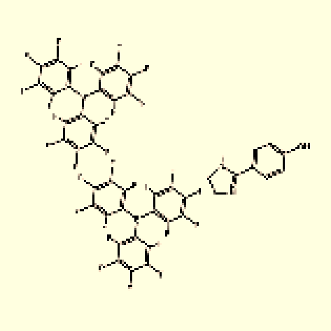 Fc1c(F)c(F)c(B(c2c(F)c(F)c(F)c(F)c2F)c2c(F)c(F)c(F)c(F)c2F)c(F)c1F.Fc1c(F)c(F)c(B(c2c(F)c(F)c(F)c(F)c2F)c2c(F)c(F)c(F)c(F)c2F)c(F)c1F.Oc1ccc(C2=NCCN2)cc1